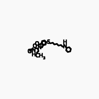 CCCC(C(=O)NC=O)N1Cc2cc(SCCCCCCCNC3CCCCC3)ccc2C1=O